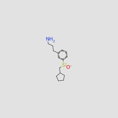 NCCCc1cccc([S+]([O-])CC2CCCC2)c1